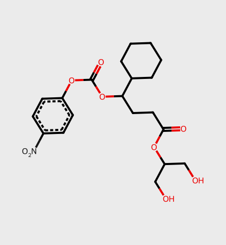 O=C(CCC(OC(=O)Oc1ccc([N+](=O)[O-])cc1)C1CCCCC1)OC(CO)CO